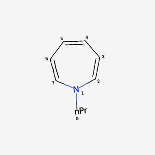 CCCN1C=CC=CC=C1